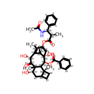 CC(=O)N[C@@H](c1ccccc1)[C@@H](C)C(=O)O[C@H]1C[C@@]2(O)[C@@H](OC(=O)c3ccccc3)C3C(C)(C(=O)[C@H](O)C(=C1C)C2(C)C)[C@@H](O)CC1CC[C@]13C